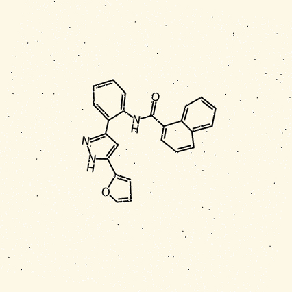 O=C(Nc1ccccc1-c1cc(-c2ccco2)[nH]n1)c1cccc2ccccc12